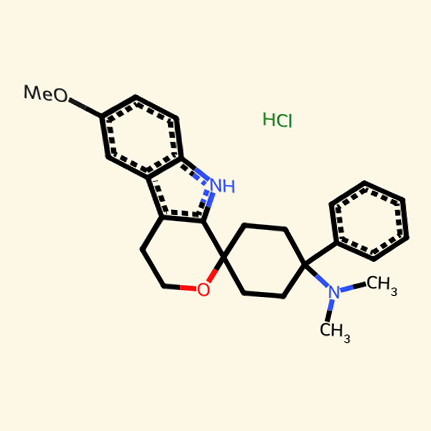 COc1ccc2[nH]c3c(c2c1)CCOC31CCC(c2ccccc2)(N(C)C)CC1.Cl